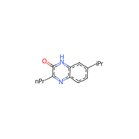 CCCc1nc2ccc(C(C)C)cc2[nH]c1=O